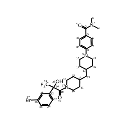 CN(C)C(=O)c1ccc(N2CCC(CC3CCN(C(=O)C(O)(c4cccc(Br)c4)C(F)(F)F)CC3)CC2)cc1